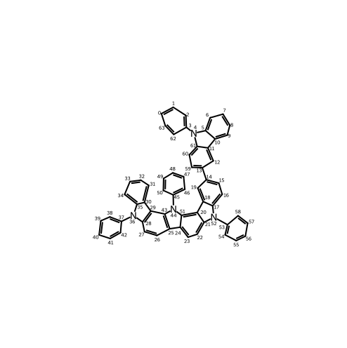 c1ccc(-n2c3ccccc3c3cc(-c4ccc5c(c4)c4c(ccc6c7ccc8c(c9ccccc9n8-c8ccccc8)c7n(-c7ccccc7)c64)n5-c4ccccc4)ccc32)cc1